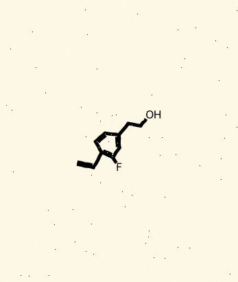 C=Cc1ccc(CCO)cc1F